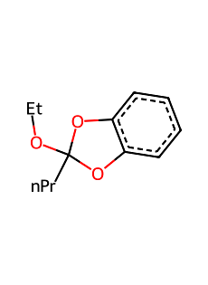 CCCC1(OCC)Oc2ccccc2O1